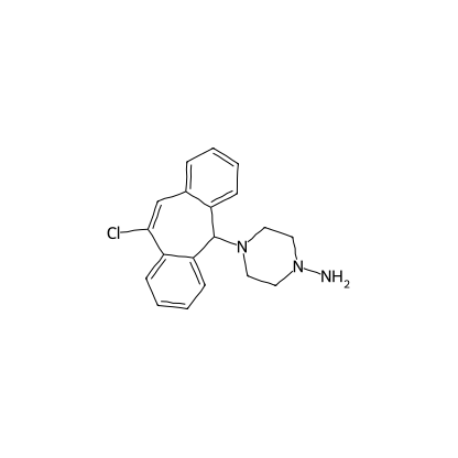 NN1CCN(C2c3ccccc3C=C(Cl)c3ccccc32)CC1